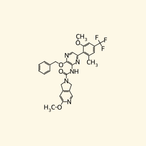 COc1cc2c(cn1)CN(C(=O)Nc1nc(-c3c(C)cc(C(F)(F)F)cc3OC)cnc1OCc1ccccc1)C2